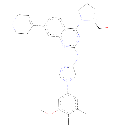 COc1cc(-n2cnc(Nc3nc(N4CCC[C@H]4CO)c4ccc(C5=CCNCC5)cc4n3)c2)cc(C)c1C